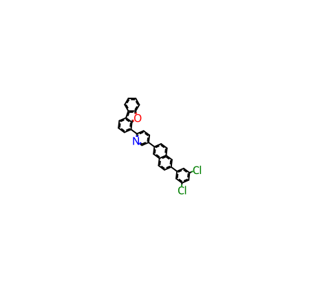 Clc1cc(Cl)cc(-c2ccc3cc(-c4ccc(-c5cccc6c5oc5ccccc56)nc4)ccc3c2)c1